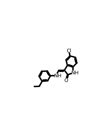 CCc1cccc(NC=C2C(=O)Nc3ccc(Cl)cc32)c1